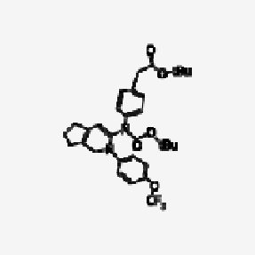 CC(C)(C)OC(=O)Cc1ccc(N(C(=O)OC(C)(C)C)C2=CC3=C(CCC3)CN2c2ccc(OC(F)(F)F)cc2)cc1